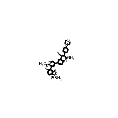 COc1ncc(-c2ccc3nc(N)c(-c4ccc(N5CCOCC5)cc4)c(C#N)c3c2)cc1-c1c(F)ccc(S(N)(=O)=O)c1F